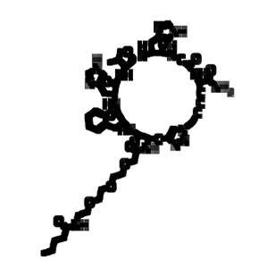 CCCCC(=O)NCCOCCOCCOCC(=O)NC1Cc2cn(nn2)CCCCC(C(N)=O)NC(=O)CNC(=O)C(Cc2c[nH]cn2)NC(=O)C(C(C)C)NC(=O)C(Cc2c[nH]cn2)NC(=O)C(Cc2ccccc2)NC1=O